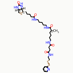 C[C@@H](CCCCNC(=O)CCC(=O)NCCSSc1ccccn1)C(=O)NCCCCCNC(=O)CCCC[C@@H]1SC[C@@H]2NC(=O)N[C@@H]21